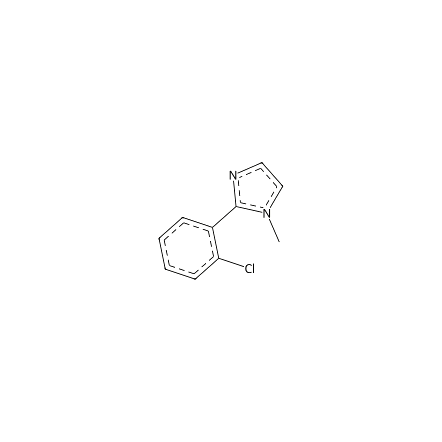 Cn1ccnc1-c1ccccc1Cl